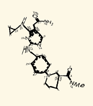 CNC(=O)[C@H]1CCCN(c2ccc(Nc3ncc(C(N)=O)c(NC4CC4)n3)cc2)C1